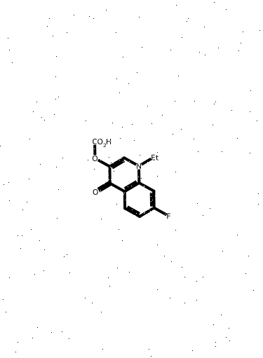 CCn1cc(OC(=O)O)c(=O)c2ccc(F)cc21